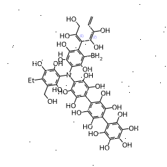 Bc1c(O)c(N(c2c(O)c(O)c(-c3c(O)c(O)c(-c4c(O)c(O)c(O)c(O)c4O)c(O)c3O)c(O)c2O)c2c(O)c(O)c(CC)c(CO)c2O)c(O)c(O)c1C(/C(O)=C(/O)C=C)=C(\O)CO